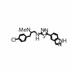 CN[C@@H](CNc1nnc(-c2ccc3[nH]ncc3c2)s1)Cc1ccc(Cl)cc1